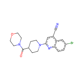 N#Cc1cc(N2CCC(C(=O)N3CCOCC3)CC2)nc2ccc(Br)cc12